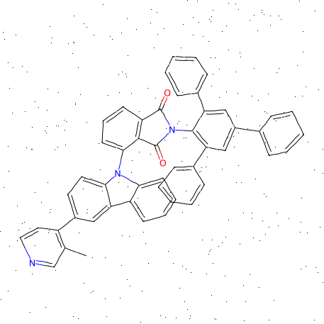 Cc1cnccc1-c1ccc2c(c1)c1ccccc1n2-c1cccc2c1C(=O)N(c1c(-c3ccccc3)cc(-c3ccccc3)cc1-c1ccccc1)C2=O